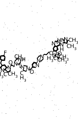 Cc1n[nH]c(Nc2ncnc3cc(OCCCN4CCN(c5ccc(C(=O)N6CCN(C[C@H]7CN[C@H](C)CN7CC(=O)N7CC(C)(C)c8ncc(Cc9ccc(F)cc9)cc87)C(C)C6)cn5)CC4)c(S(=O)(=O)C(C)(C)C)cc23)c1C